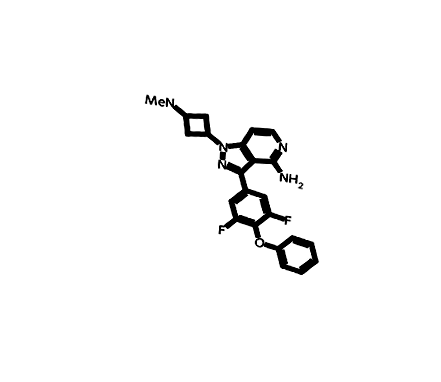 CNC1CC(n2nc(-c3cc(F)c(Oc4ccccc4)c(F)c3)c3c(N)nccc32)C1